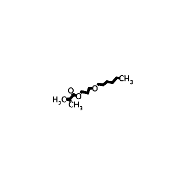 C=C(C)C(=O)OCCCOCCCCCC